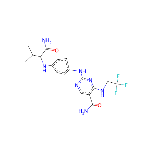 CC(C)C(Nc1ccc(Nc2ncc(C(N)=O)c(NCC(F)(F)F)n2)cc1)C(N)=O